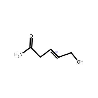 NC(=O)C/C=C/CO